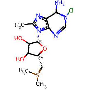 Cc1nc2c(n1[C@@H]1O[C@H](C[S+](C)C)C(O)C1O)N=CN(Cl)C2N